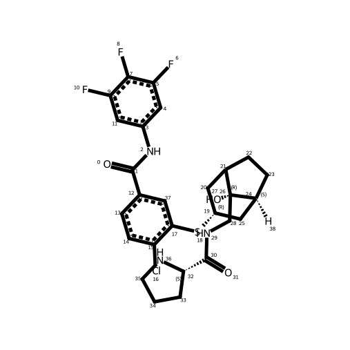 O=C(Nc1cc(F)c(F)c(F)c1)c1ccc(Cl)c(S[C@@H]2CC3CC[C@@H](C2)[C@@]3(O)CNC(=O)[C@@H]2CCCN2)c1